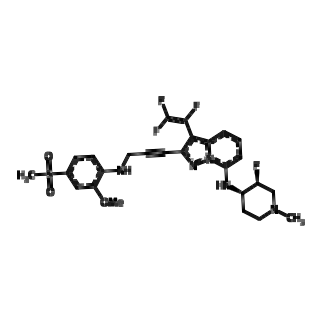 COc1cc(S(C)(=O)=O)ccc1NCC#Cc1nn2c(N[C@@H]3CCN(C)C[C@@H]3F)cccc2c1C(F)=C(F)F